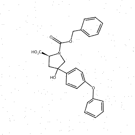 O=C(O)[C@@H]1CC(O)(c2ccc(Oc3ccccc3)cc2)CN1C(=O)OCc1ccccc1